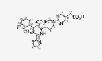 CCOC(=O)C1=C(C2CCN(c3ncc(CC(=O)O)cn3)CC2)NC(c2nccs2)=NC1c1cccc(F)c1C